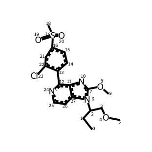 CCC(COC)n1c(OC)nc2c(-c3ccc(S(C)(=O)=O)cc3Cl)nccc21